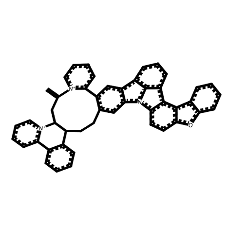 C=C1CC2C(CCc3cc4c(cc3-c3cccc[n+]31)c1cccc3c5c6c(ccc5n4c13)oc1ccccc16)c1ccccc1-c1cccc[n+]12